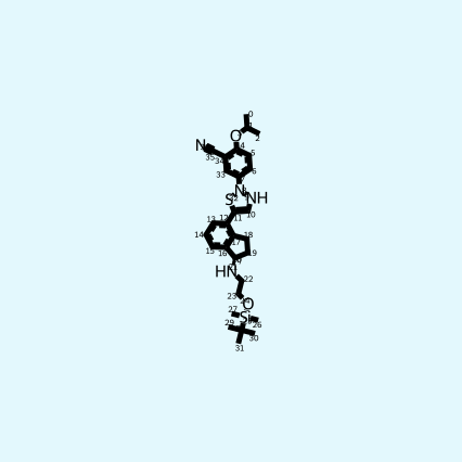 CC(C)Oc1ccc(N2NC=C(c3cccc4c3CC[C@H]4NCCO[Si](C)(C)C(C)(C)C)S2)cc1C#N